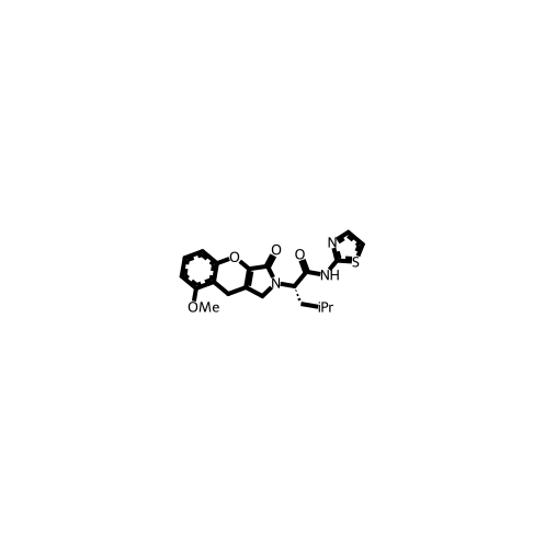 COc1cccc2c1CC1=C(O2)C(=O)N([C@@H](CC(C)C)C(=O)Nc2nccs2)C1